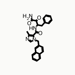 Cc1ncn(Cc2ccc3ccccc3c2)c1C(=O)NC(Cc1ccccc1)C(=O)C(N)=O